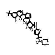 Cn1cc(-c2cccc(-n3ncc4cc(C(C)(C)C)cc(F)c4c3=O)c2CO)cc(Nc2ccc(C(C)(C)C(=O)N3CCOCC3)cn2)c1=O